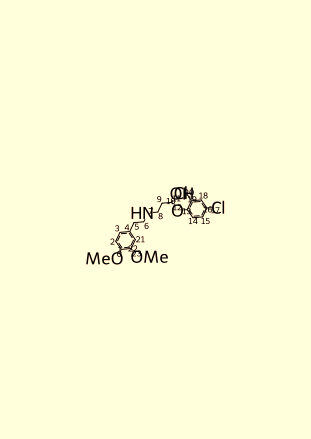 COc1ccc(CCNCCC(O)Oc2ccc(Cl)cc2Cl)cc1OC